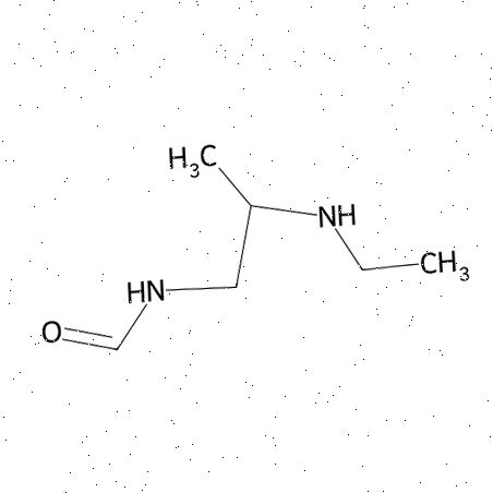 CCNC(C)CNC=O